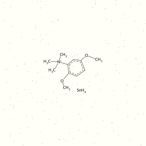 COc1ccc(OC)c([N+](C)(C)C)c1.[SnH4]